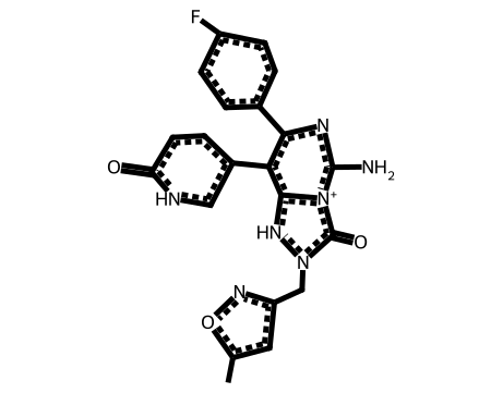 Cc1cc(Cn2[nH]c3c(-c4ccc(=O)[nH]c4)c(-c4ccc(F)cc4)nc(N)[n+]3c2=O)no1